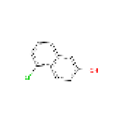 Oc1ccc2c(Cl)cccc2c1